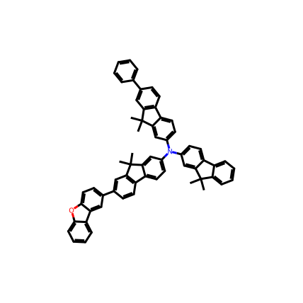 CC1(C)c2ccccc2-c2ccc(N(c3ccc4c(c3)C(C)(C)c3cc(-c5ccccc5)ccc3-4)c3ccc4c(c3)C(C)(C)c3cc(-c5ccc6oc7ccccc7c6c5)ccc3-4)cc21